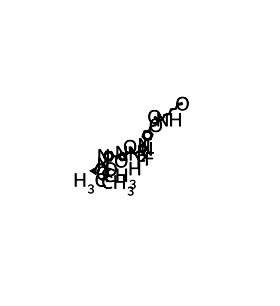 CC(C)(C)OC(=O)N(CC1CC1)c1cc(-c2nc(C(=O)Nc3cn(-c4ccc(COC(=O)NCCCCC=O)cc4)nc3C(F)F)co2)ccn1